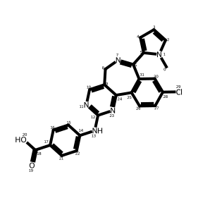 Cn1cccc1C1=NCc2cnc(Nc3ccc(C(=O)O)cc3)nc2-c2ccc(Cl)cc21